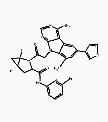 Cc1cc(-c2ccoc2)cc2c3c(N)ncnc3n(CC(=O)N3C(C(=O)Nc4cccc(Br)n4)C[C@H]4C[C@@H]43)c12